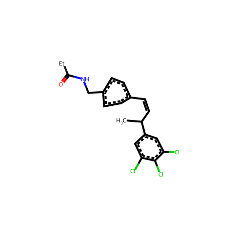 CCC(=O)NCc1ccc(/C=C\C(C)c2cc(Cl)c(Cl)c(Cl)c2)cc1